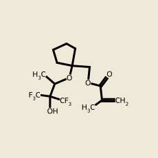 C=C(C)C(=O)OCC1(OC(C)C(O)(C(F)(F)F)C(F)(F)F)CCCC1